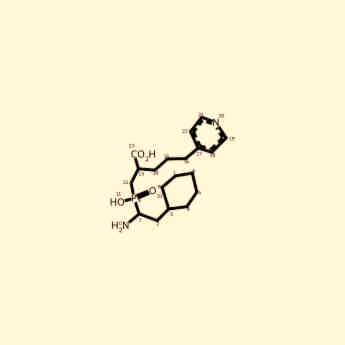 NC(CC1CCCCC1)P(=O)(O)CC(CCCc1ccncc1)C(=O)O